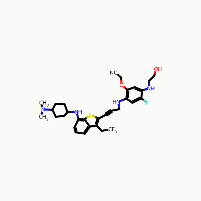 CN(C)C1CCC(Nc2cccc3c(CC(F)(F)F)c(C#CCNc4cc(F)c(NCCO)cc4OCC#N)sc23)CC1